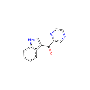 O=C(c1cnccn1)c1c[nH]c2ccccc12